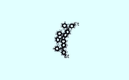 CCc1ccc(N(c2ccccc2)c2ccc3cc4c(cc3c2)C2(c3ccccc3-c3ccccc32)c2cc3cc(N(c5ccccc5)c5ccc(CC)cc5)ccc3cc2-4)cc1